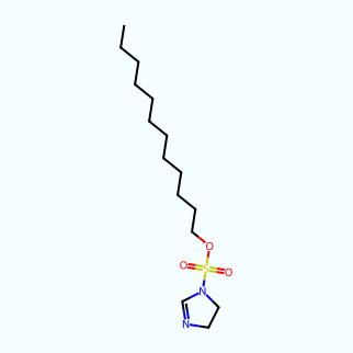 CCCCCCCCCCCCOS(=O)(=O)N1C=NCC1